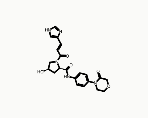 O=C(Nc1ccc(N2CCOCC2=O)cc1)[C@H]1C[C@@H](O)CN1C(=O)/C=C/c1c[nH]cn1